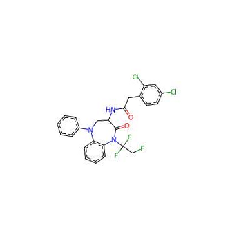 O=C(Cc1ccc(Cl)cc1Cl)NC1CN(c2ccccc2)c2ccccc2N(C(F)(F)CF)C1=O